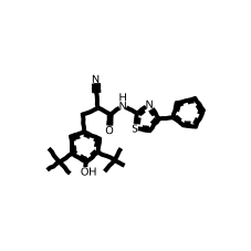 CC(C)(C)c1cc(CC(C#N)C(=O)Nc2nc(-c3ccccc3)cs2)cc(C(C)(C)C)c1O